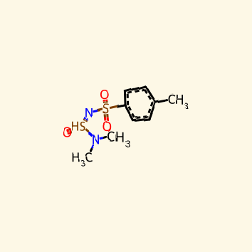 Cc1ccc(S(=O)(=O)/N=[SH](=O)\N(C)C)cc1